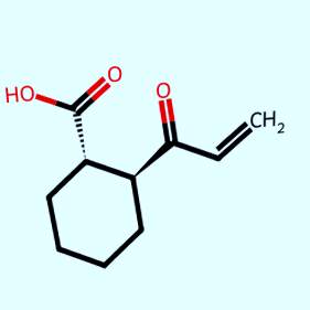 C=CC(=O)[C@H]1CCCC[C@@H]1C(=O)O